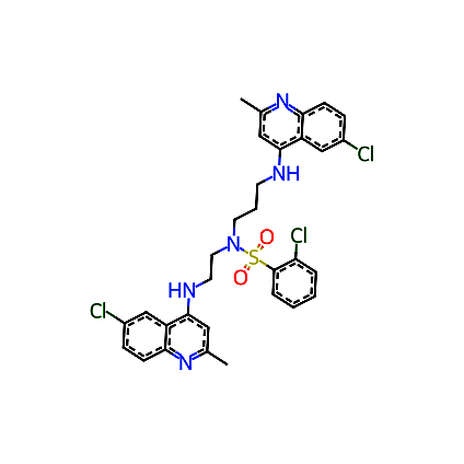 Cc1cc(NCCCN(CCNc2cc(C)nc3ccc(Cl)cc23)S(=O)(=O)c2ccccc2Cl)c2cc(Cl)ccc2n1